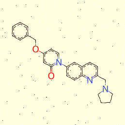 O=c1cc(OCc2ccccc2)ccn1-c1ccc2nc(CN3CCCC3)ccc2c1